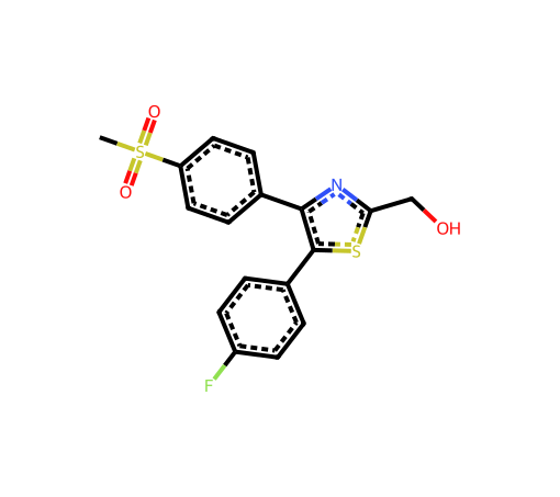 CS(=O)(=O)c1ccc(-c2nc(CO)sc2-c2ccc(F)cc2)cc1